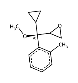 CO[C@@](c1ccccc1C)(C1CC1)C1CO1